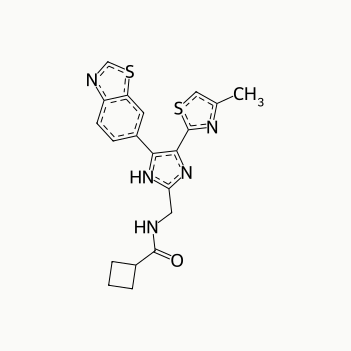 Cc1csc(-c2nc(CNC(=O)C3CCC3)[nH]c2-c2ccc3ncsc3c2)n1